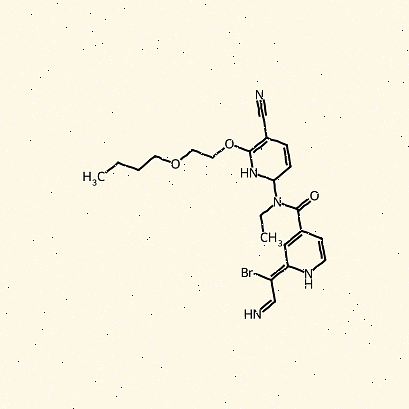 CCCCOCCOC1=C(C#N)C=CC(N(CC)C(=O)C2=C/C(=C(\Br)C=N)NC=C2)N1